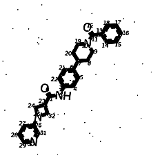 O=C(Nc1ccc(C2CCN(C(=O)c3ccccc3)CC2)cc1)C1CN(c2cccnc2)C1